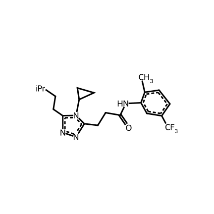 Cc1ccc(C(F)(F)F)cc1NC(=O)CCc1nnc(CCC(C)C)n1C1CC1